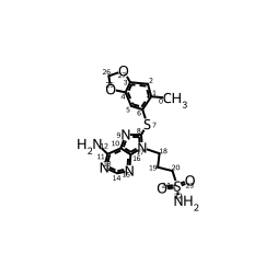 Cc1cc2c(cc1Sc1nc3c(N)ncnc3n1CCCS(N)(=O)=O)OCO2